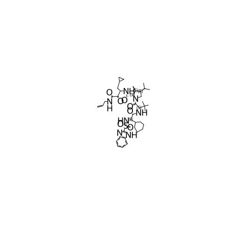 C=CCNC(=O)C(=O)C(CC1CC1)NC(=O)[C@@H]1[C@@H](C)[C@@H](C(C)C)CN1C(=O)[C@@H](NC(=O)[C@@H](NS(=O)(=O)c1nc2ccccc2[nH]1)C1CCCCC1)C(C)(C)C